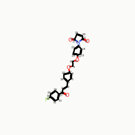 O=C(C=Cc1ccc(OCCOc2ccc(N3C(=O)C=CC3=O)cc2)cc1)c1ccc(F)cc1